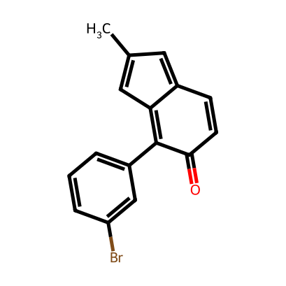 CC1=CC2=C(c3cccc(Br)c3)C(=O)C=CC2=C1